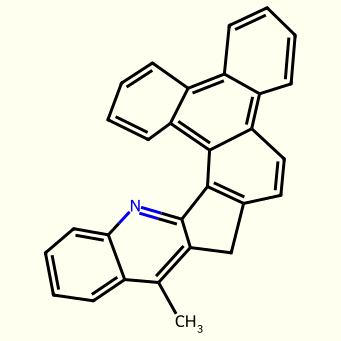 Cc1c2c(nc3ccccc13)-c1c(ccc3c4ccccc4c4ccccc4c13)C2